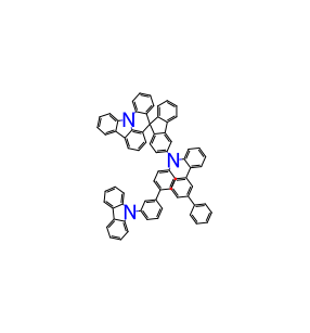 c1ccc(-c2cccc(-c3ccccc3N(c3ccc(-c4cccc(-n5c6ccccc6c6ccccc65)c4)cc3)c3ccc4c(c3)-c3ccccc3C43c4ccccc4-n4c5ccccc5c5cccc3c54)c2)cc1